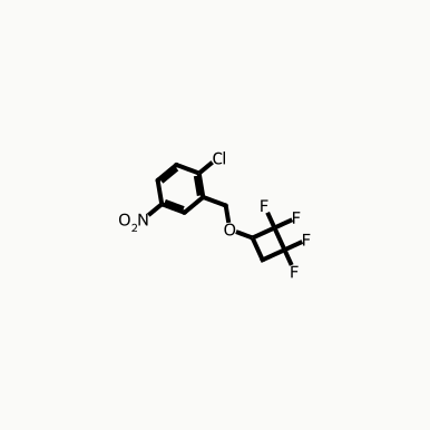 O=[N+]([O-])c1ccc(Cl)c(COC2CC(F)(F)C2(F)F)c1